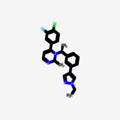 CCn1cc(-c2cccc([C@H](C)N3C(c4ccc(Cl)c(F)c4)=CC=NC3C)c2)cn1